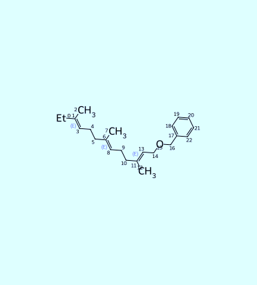 CC/C(C)=C/CC/C(C)=C/CC/C(C)=C/COCc1ccccc1